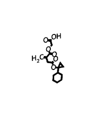 C=C(CC(=O)OC1(C2CCCCC2)CC1)C(=O)OCC(=O)O